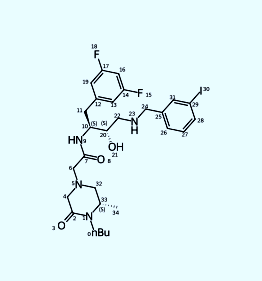 CCCCN1C(=O)CN(CC(=O)N[C@@H](Cc2cc(F)cc(F)c2)[C@@H](O)CNCc2cccc(I)c2)C[C@@H]1C